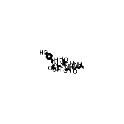 CC(C)C[C@H](N)C(=O)N[C@@H](C)C(=O)NCC1(N[C@@H](C)C(=O)N[C@@H](CCc2ccc(O)cc2)C(=O)O)COC1